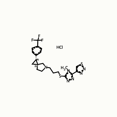 Cl.Cn1c(SCCCN2CC[C@]3(C[C@@H]3c3ccc(C(F)(F)F)cc3)C2)nnc1-c1csnn1